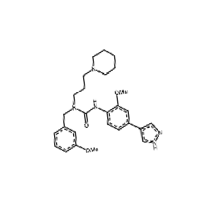 COc1cccc(CN(CCCN2CCCCC2)C(=O)Nc2ccc(-c3cn[nH]c3)cc2OC)c1